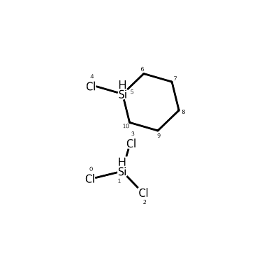 Cl[SiH](Cl)Cl.Cl[SiH]1CCCCC1